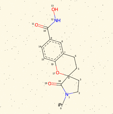 CC(C)N1CCC2(CCc3cc(C(=O)NO)ccc3O2)C1=O